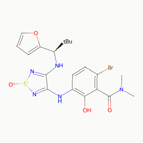 CN(C)C(=O)c1c(Br)ccc(Nc2n[s+]([O-])nc2N[C@@H](c2ccco2)C(C)(C)C)c1O